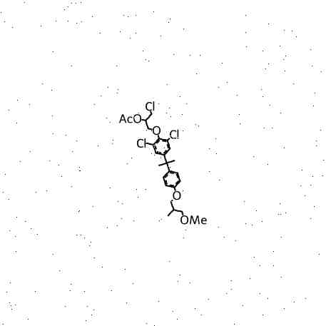 COCC(C)COc1ccc(C(C)(C)c2cc(Cl)c(OCC(CCl)OC(C)=O)c(Cl)c2)cc1